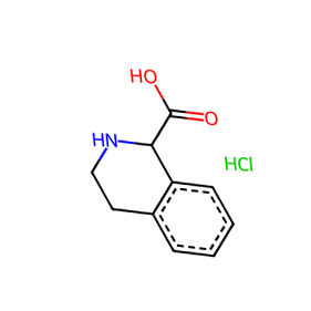 Cl.O=C(O)C1NCCc2ccccc21